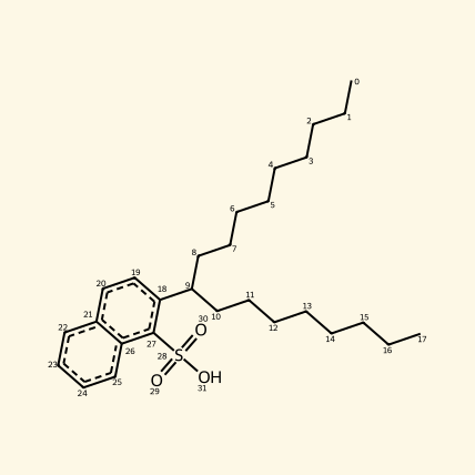 CCCCCCCCCC(CCCCCCCC)c1ccc2ccccc2c1S(=O)(=O)O